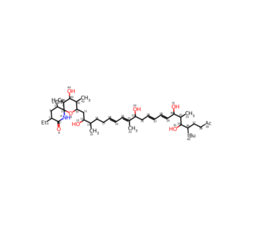 CCC1CC(C)C2(NC1=O)OC(CC(O)C(C)CC/C=C/C=C(\C)C(O)C/C=C/C=C/C(O)C(C)C(O)C(CCC(C)=O)C(C)(C)C)C(C)C(O)C2C